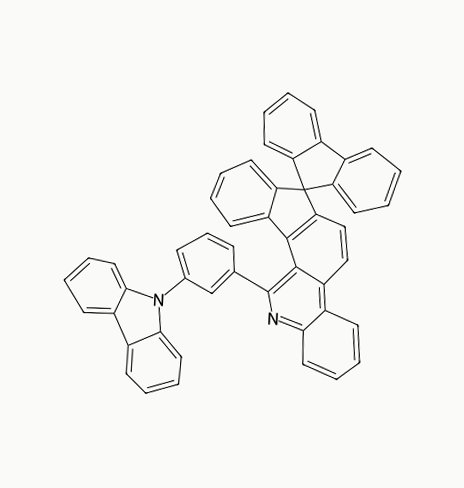 c1cc(-c2nc3ccccc3c3ccc4c(c23)-c2ccccc2C42c3ccccc3-c3ccccc32)cc(-n2c3ccccc3c3ccccc32)c1